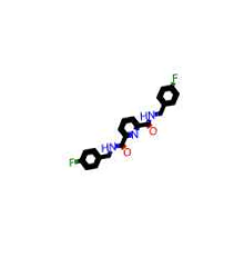 O=C(NCc1ccc(F)cc1)c1cccc(C(=O)NCc2ccc(F)cc2)n1